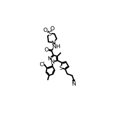 Cc1ccc(-n2nc(C(=O)NN3CCS(=O)(=O)CC3)c(C)c2-c2ccc(CCC#N)s2)c(Cl)c1